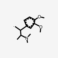 [CH2]C(c1ccc(OC)c(OC)c1)C(C)N(C)C